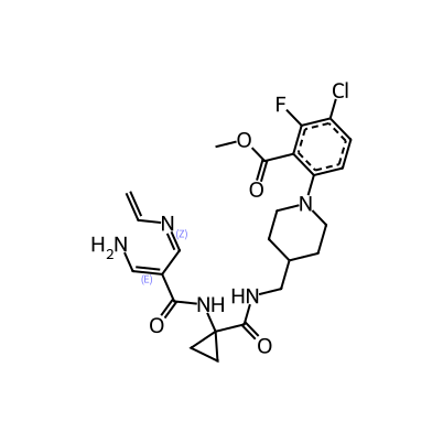 C=C/N=C\C(=C/N)C(=O)NC1(C(=O)NCC2CCN(c3ccc(Cl)c(F)c3C(=O)OC)CC2)CC1